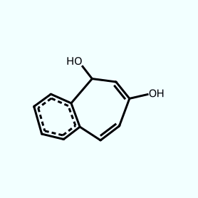 OC1=CC(O)c2ccccc2C=C1